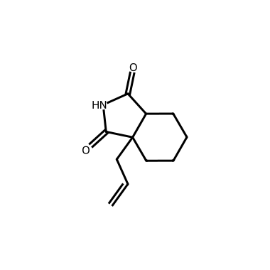 C=CCC12CCCCC1C(=O)NC2=O